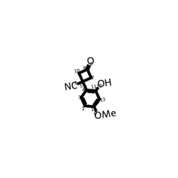 COc1ccc(C2(C#N)CC(=O)C2)c(O)c1